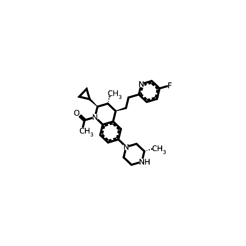 CC(=O)N1c2ccc(N3CCN[C@@H](C)C3)cc2[C@H](CCc2ccc(F)cn2)[C@@H](C)[C@@H]1C1CC1